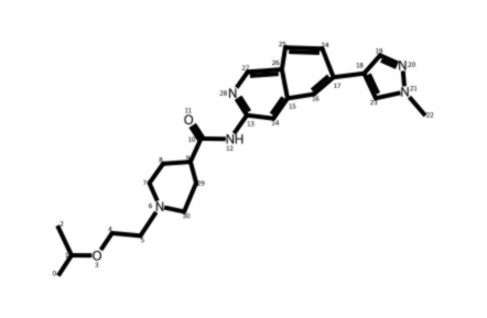 CC(C)OCCN1CCC(C(=O)Nc2cc3cc(-c4cnn(C)c4)ccc3cn2)CC1